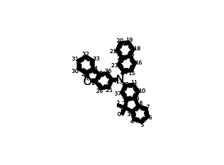 CC1(C)c2ccccc2-c2ccc(N(c3ccc4ccccc4c3)c3ccc4oc5ccccc5c4c3)cc21